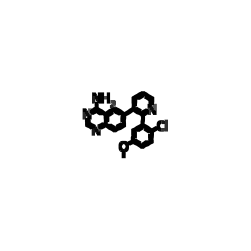 COc1ccc(Cl)c(-c2ncccc2-c2ccc3ncnc(N)c3c2)c1